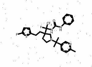 Cc1ccc(C(C)(C)N2CCC(CCc3ccc(F)s3)(C(F)(NC(=O)Nc3ccccc3)C(F)(F)F)C2)cn1